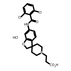 Cl.O=C(O)CCN1CCC2(CC1)COc1cc(NC(=O)c3c(Cl)cccc3Cl)ccc12